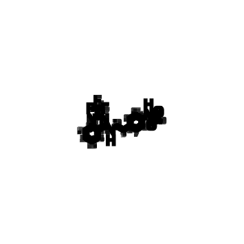 CS(=O)(=O)Nc1ccc(CCNc2nc(C(F)(F)F)nc3ccccc23)cc1